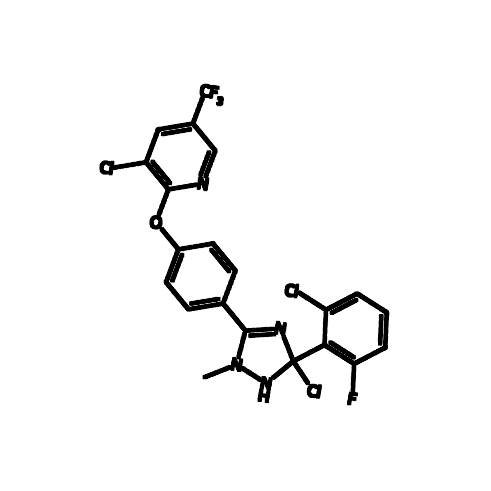 CN1NC(Cl)(c2c(F)cccc2Cl)N=C1c1ccc(Oc2ncc(C(F)(F)F)cc2Cl)cc1